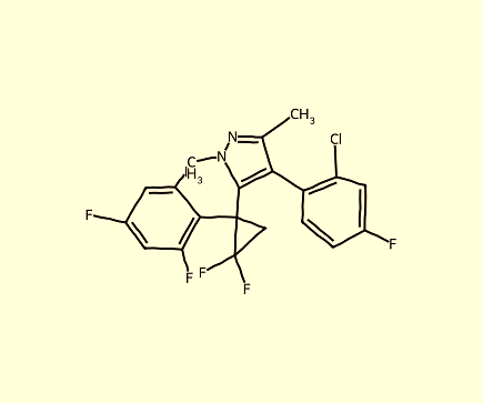 Cc1nn(C)c(C2(c3c(F)cc(F)cc3I)CC2(F)F)c1-c1ccc(F)cc1Cl